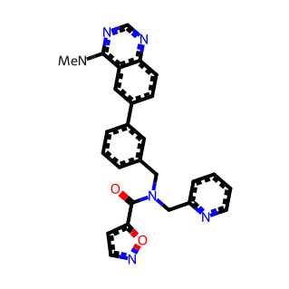 CNc1ncnc2ccc(-c3cccc(CN(Cc4ccccn4)C(=O)c4ccno4)c3)cc12